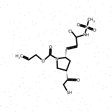 C=CCOC(=O)N1C[C@@H](C(=O)CS)C[C@H]1C=CC(Cl)NS(C)(=O)=O